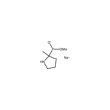 COP([O-])C1(C)NCCS1.[Na+]